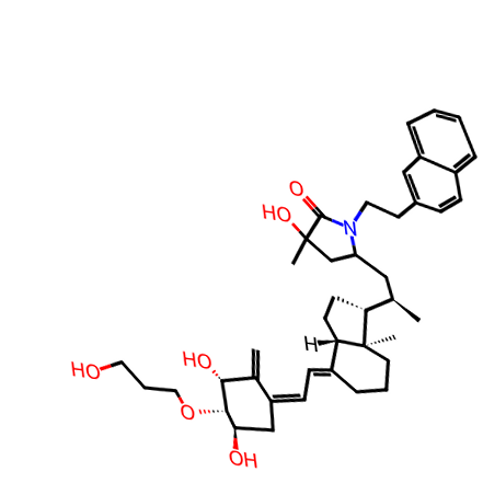 C=C1/C(=C\C=C2/CCC[C@]3(C)[C@@H]([C@H](C)CC4CC(C)(O)C(=O)N4CCc4ccc5ccccc5c4)CC[C@@H]23)C[C@@H](O)[C@H](OCCCO)[C@@H]1O